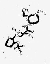 CC[C@H]1CN(C)CC[C@@H]1NC(=O)C(C)(C)COc1ncccc1OC(F)(F)F